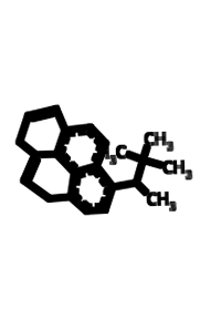 CC(c1ccc2c3c4c(ccc13)C=CCC4=CC2)C(C)(C)C